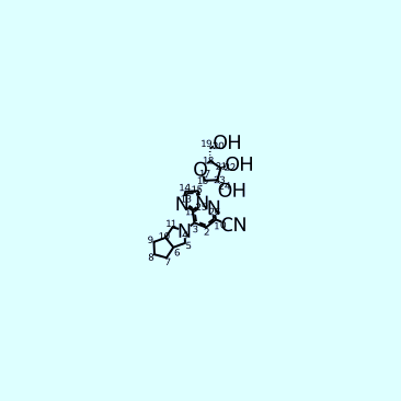 N#Cc1cc(N2CC3CCCC3C2)c2ncc([C@@H]3O[C@H](CO)[C@@H](O)[C@H]3O)n2n1